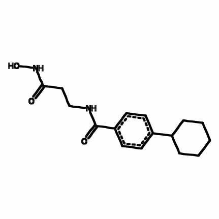 O=C(CCNC(=O)c1ccc(C2CCCCC2)cc1)NO